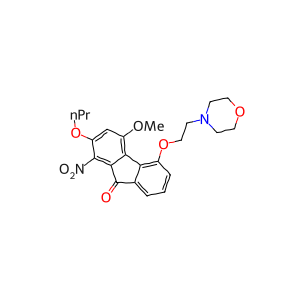 CCCOc1cc(OC)c2c(c1[N+](=O)[O-])C(=O)c1cccc(OCCN3CCOCC3)c1-2